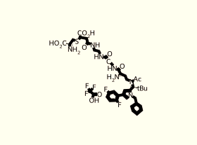 CC(=O)N(CC[C@H](N)C(=O)NCCC(=O)NCCNC(=O)CC(SC[C@H](N)C(=O)O)C(=O)O)[C@@H](c1cc(-c2cc(F)ccc2F)cn1Cc1ccccc1)C(C)(C)C.O=C(O)C(F)(F)F